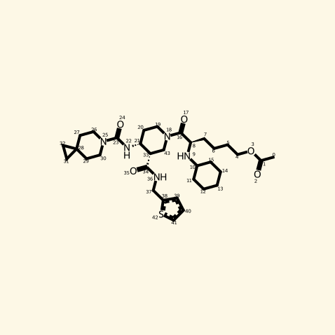 CC(=O)OCCCC[C@@H](NC1CCCCC1)C(=O)N1CC[C@@H](NC(=O)N2CCC3(CC2)CC3)[C@@H](C(=O)NCc2cccs2)C1